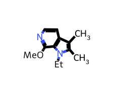 CCn1c(C)c(C)c2ccnc(OC)c21